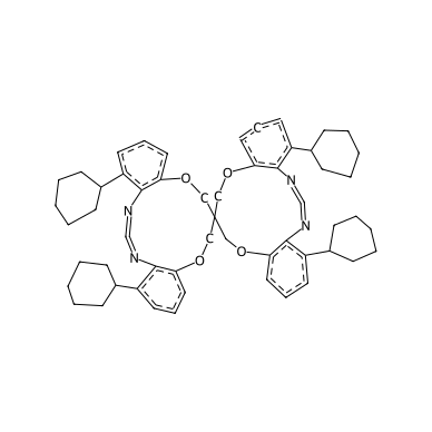 C1=Nc2c(cccc2C2CCCCC2)OCC2(COc3cccc(C4CCCCC4)c3N=1)COc1cccc(C3CCCCC3)c1N=C=Nc1c(cccc1C1CCCCC1)OC2